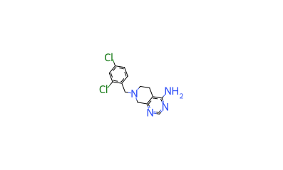 Nc1ncnc2c1CCN(Cc1ccc(Cl)cc1Cl)C2